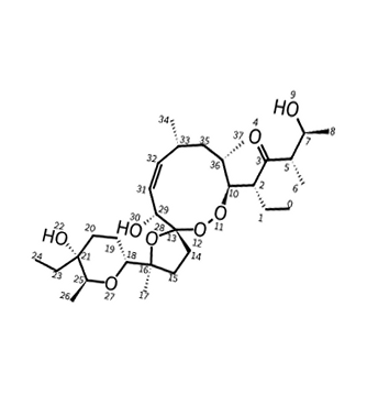 CC[C@@H](C(=O)[C@@H](C)[C@H](C)O)[C@H]1OO[C@@]2(CC[C@@](C)([C@H]3CC[C@](O)(CC)[C@H](C)O3)O2)[C@H](O)/C=C\[C@H](C)C[C@@H]1C